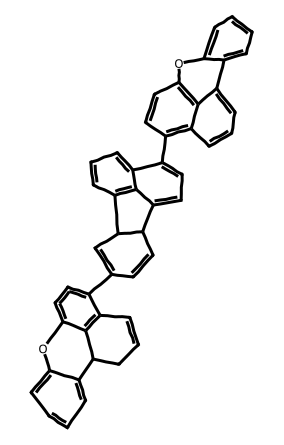 C1=C=C(C2=CC3c4cccc5c(-c6ccc7c8c(cccc68)-c6ccccc6O7)ccc(c45)C3C=C2)C2=C3C=1Oc1ccccc1C3CC=C2